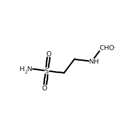 NS(=O)(=O)CCN[C]=O